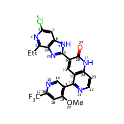 CCc1nc(Cl)cc2[nH]c(-c3cc4c(-c5cnc(C(F)(F)F)cc5OC)nccc4[nH]c3=O)nc12